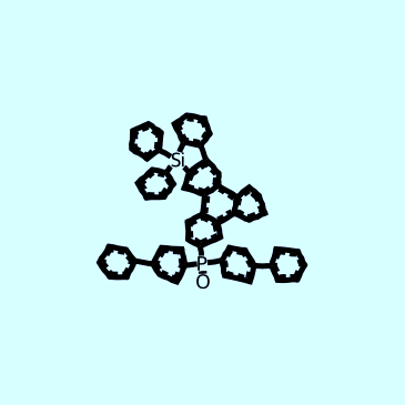 O=P(c1ccc(-c2ccccc2)cc1)(c1ccc(-c2ccccc2)cc1)c1ccc2c(c1)c1ccccc1c1cc3c(cc21)[Si](c1ccccc1)(c1ccccc1)c1ccccc1-3